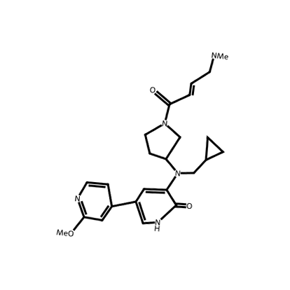 CNC/C=C/C(=O)N1CCC(N(CC2CC2)c2cc(-c3ccnc(OC)c3)c[nH]c2=O)C1